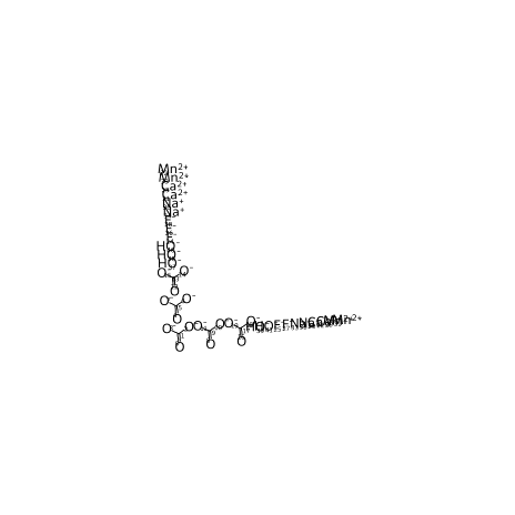 O=C([O-])[O-].O=C([O-])[O-].O=C([O-])[O-].O=C([O-])[O-].O=C([O-])[O-].[Ca+2].[Ca+2].[Ca+2].[Ca+2].[F-].[F-].[F-].[F-].[F-].[Mn+2].[Mn+2].[Mn+2].[Mn+2].[Na+].[Na+].[Na+].[Na+].[OH-].[OH-].[OH-].[OH-].[OH-]